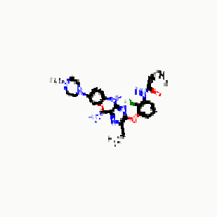 C=CC(=O)Nc1cccc(Oc2nc(Nc3ccc(N4CCN(C)CC4)cc3)c(C(N)=O)nc2CC)c1Cl